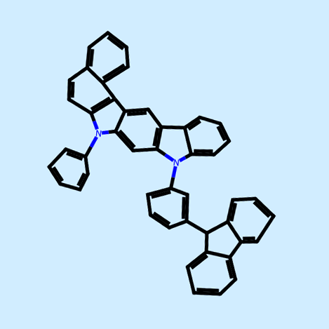 c1ccc(-n2c3cc4c(cc3c3c5ccccc5ccc32)c2ccccc2n4-c2cccc(C3c4ccccc4-c4ccccc43)c2)cc1